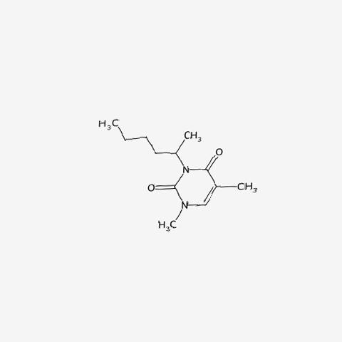 CCCCC(C)n1c(=O)c(C)cn(C)c1=O